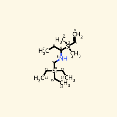 C=C[Si](C)(C)C(CC)NC[Si](CC)(CC)CC